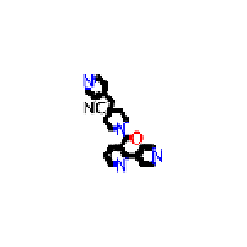 N#CC1(Cc2ccncc2)CCN(C(=O)c2cccnc2-c2ccncc2)CC1